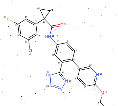 CCOc1ccc(-c2ccc(NC(=O)C3(c4cc(F)cc(Cl)c4)CC3)cc2-c2nnn[nH]2)cn1